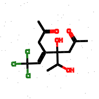 CC(=O)CC(=CC(Cl)(Cl)Cl)C(O)(CC(C)=O)C(C)O